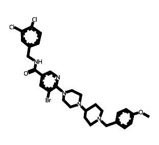 COc1ccc(CN2CCC(N3CCN(c4ncc(C(=O)NCc5ccc(Cl)c(Cl)c5)cc4Br)CC3)CC2)cc1